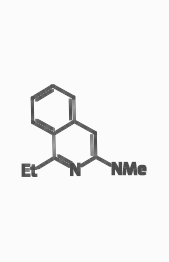 CCc1nc(NC)cc2ccccc12